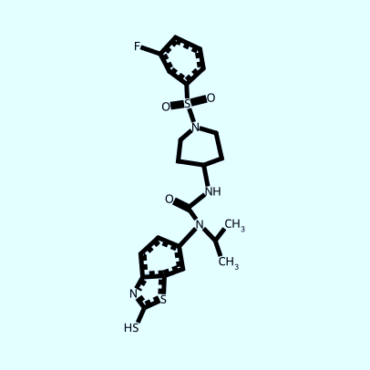 CC(C)N(C(=O)NC1CCN(S(=O)(=O)c2cccc(F)c2)CC1)c1ccc2nc(S)sc2c1